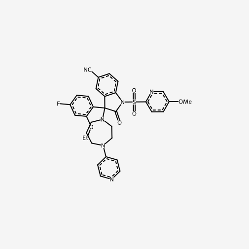 CCOc1cc(F)ccc1C1(N2CCCN(c3ccncc3)CC2)C(=O)N(S(=O)(=O)c2ccc(OC)cn2)c2ccc(C#N)cc21